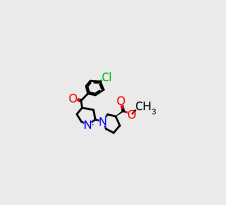 COC(=O)[C@H]1CCCN(C2CC(C(=O)c3ccc(Cl)cc3)CC[N]2)C1